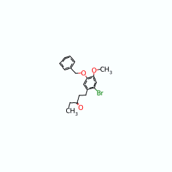 CCC(=O)CCc1cc(OCc2ccccc2)c(OC)cc1Br